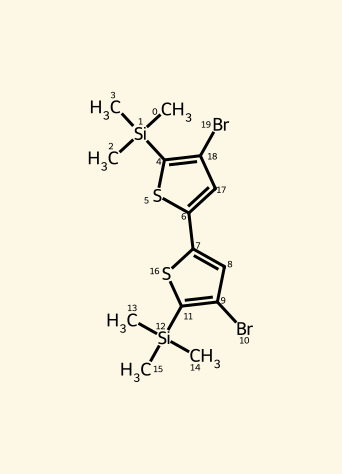 C[Si](C)(C)c1sc(-c2cc(Br)c([Si](C)(C)C)s2)cc1Br